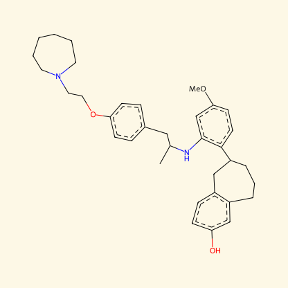 COc1ccc(C2CCCc3cc(O)ccc3C2)c(NC(C)Cc2ccc(OCCN3CCCCCC3)cc2)c1